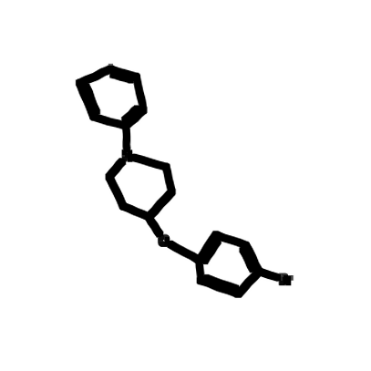 Brc1ccc(OC2CCN(c3cc[c]cc3)CC2)cc1